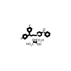 O=C(O)C(O)C(O)C(=O)O.[O-][S+](C1=CCN(CCCC(c2ccc(F)cc2)c2ccc(F)cc2)CC1)c1ccccc1